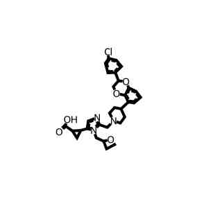 O=C(O)C1CC1c1cnc(CN2CCC(c3cccc4c3OCC(c3ccc(Cl)cc3)O4)CC2)n1CC1CCO1